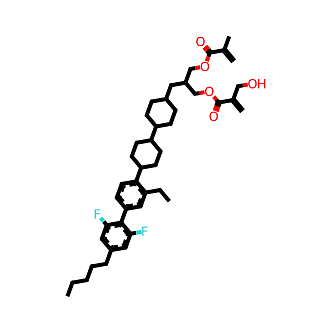 C=C(C)C(=O)OCC(COC(=O)C(=C)CO)CC1CCC(C2CCC(c3ccc(-c4c(F)cc(CCCCC)cc4F)cc3CC)CC2)CC1